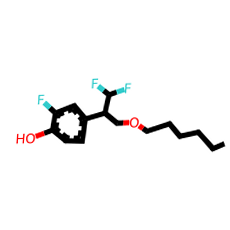 CCCCCCOCC(c1ccc(O)c(F)c1)C(F)F